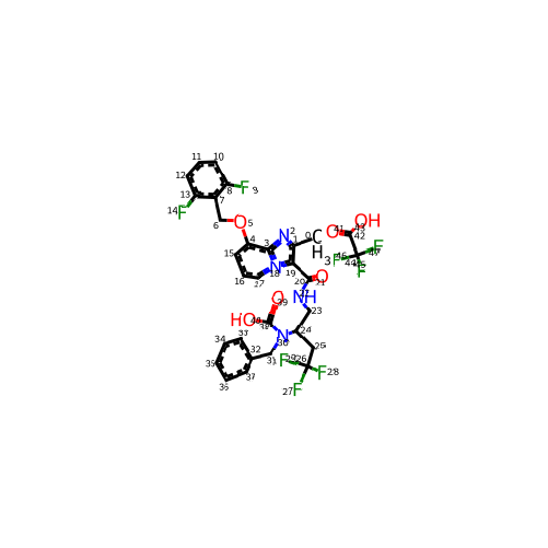 Cc1nc2c(OCc3c(F)cccc3F)cccn2c1C(=O)NCC(CC(F)(F)F)N(Cc1ccccc1)C(=O)O.O=C(O)C(F)(F)F